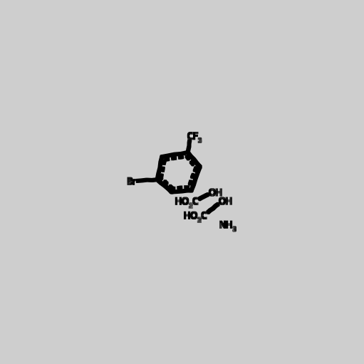 FC(F)(F)c1cccc(Br)c1.N.O=C(O)O.O=C(O)O